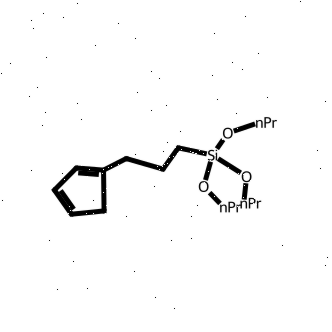 CCCO[Si](CCCC1=CC=CC1)(OCCC)OCCC